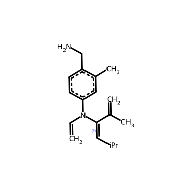 C=CN(/C(=C/C(C)C)C(=C)C)c1ccc(CN)c(C)c1